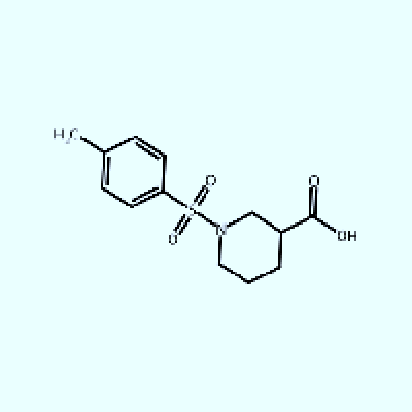 Cc1ccc(S(=O)(=O)N2CCCC(C(=O)O)C2)cc1